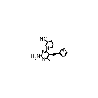 Cc1nc(N)nc(N2CCCC(C#N)C2)c1C#Cc1cccnc1